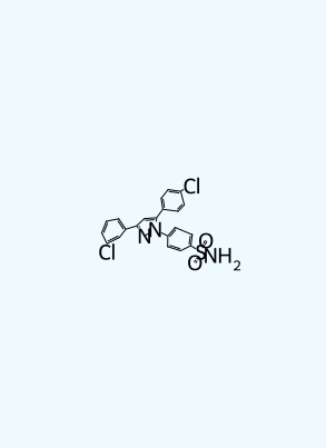 NS(=O)(=O)c1ccc(-n2nc(-c3cccc(Cl)c3)cc2-c2ccc(Cl)cc2)cc1